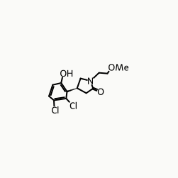 COCCN1C[C@H](c2c(O)ccc(Cl)c2Cl)CC1=O